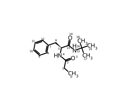 CCC(=O)N[C@@H](Cc1ccccc1)C(=O)NC(C)(C)C